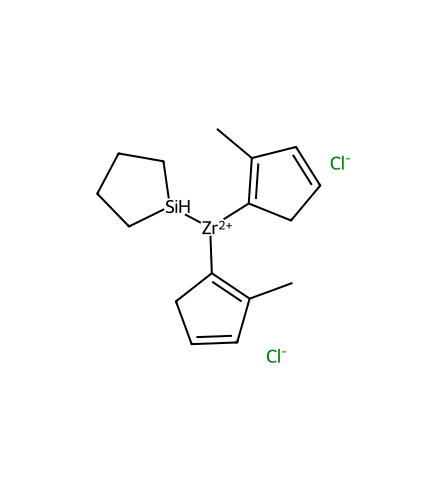 CC1=[C]([Zr+2]([C]2=C(C)C=CC2)[SiH]2CCCC2)CC=C1.[Cl-].[Cl-]